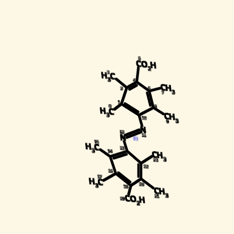 Cc1c(C)c(C(=O)O)c(C)c(C)c1/N=N/c1c(C)c(C)c(C(=O)O)c(C)c1C